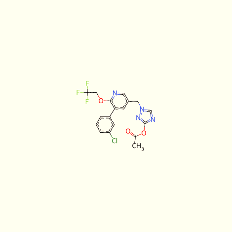 CC(=O)Oc1ncn(Cc2cnc(OCC(F)(F)F)c(-c3cccc(Cl)c3)c2)n1